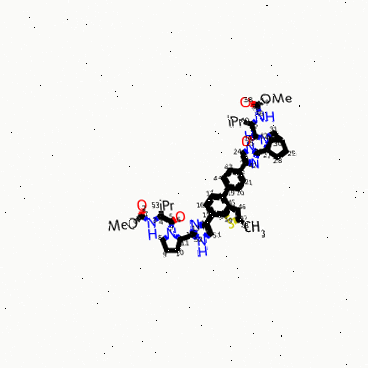 COC(=O)NC(C(=O)N1CCCC1c1nc(-c2ccc(-c3ccc(-c4c[nH]c(C56CCC(CN5C(=O)C(NC(=O)OC)C(C)C)C6)n4)cc3)c3cc(C)sc23)c[nH]1)C(C)C